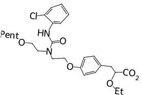 CCCCCOCCN(CCOc1ccc(CC(OCC)C(=O)O)cc1)C(=O)Nc1ccccc1Cl